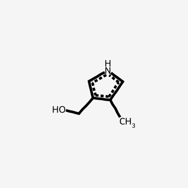 Cc1c[nH]cc1CO